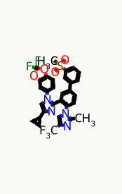 Cc1nc(C(F)(F)F)cn1-c1ccc(-c2cccc(S(C)(=O)=O)c2)cc1-c1nc(C2CC2)cn1-c1ccc2c(c1)OC(F)(F)O2